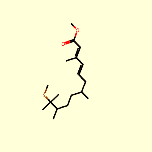 COC(=O)/C=C(C)/C=C/CC(C)CCC(C)C(C)(C)SC